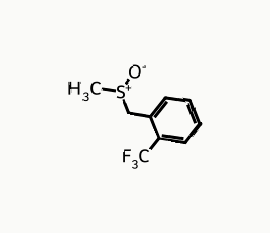 C[S+]([O-])Cc1ccccc1C(F)(F)F